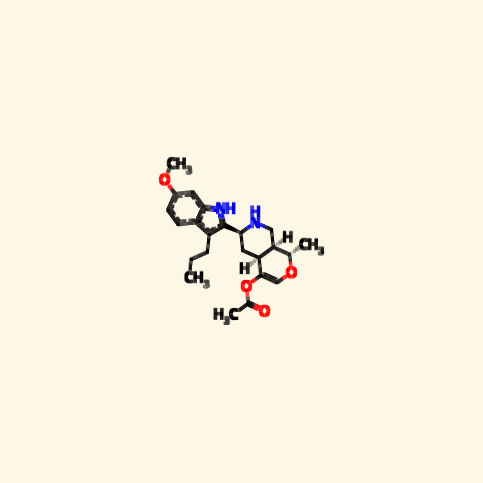 CCCc1c([C@@H]2C[C@@H]3C(OC(C)=O)=CO[C@@H](C)[C@@H]3CN2)[nH]c2cc(OC)ccc12